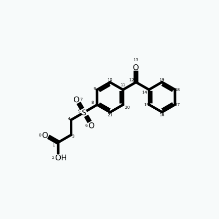 O=C(O)CCS(=O)(=O)c1ccc(C(=O)c2ccccc2)cc1